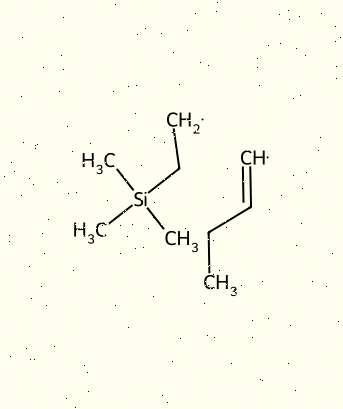 [CH2]C[Si](C)(C)C.[CH]=CCC